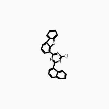 Clc1nc(-c2cccc3ccccc23)nc(-c2cccc3c2sc2ccccc23)n1